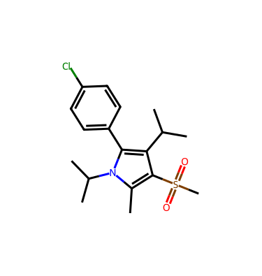 Cc1c(S(C)(=O)=O)c(C(C)C)c(-c2ccc(Cl)cc2)n1C(C)C